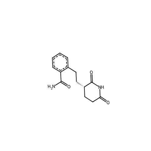 NC(=O)c1ccccc1CC[C@H]1CCC(=O)NC1=O